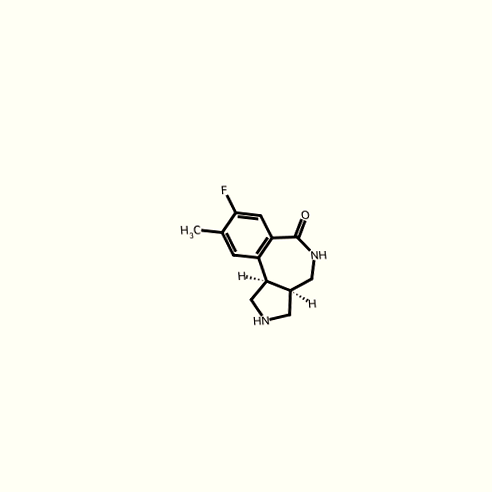 Cc1cc2c(cc1F)C(=O)NC[C@H]1CNC[C@@H]21